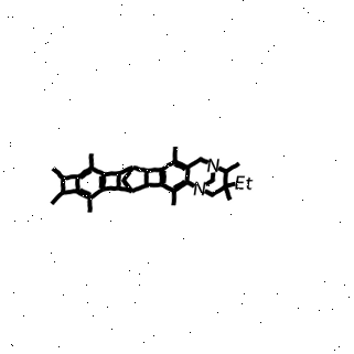 CCC1(C)CN2CN(Cc3c(C)c4c(c(C)c32)C2C3CC(C42)C2c4c(C)c5c(c(C)c4C32)C(C)C5C)C1C